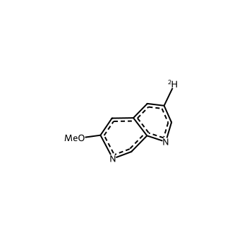 [2H]c1cnc2cnc(OC)cc2c1